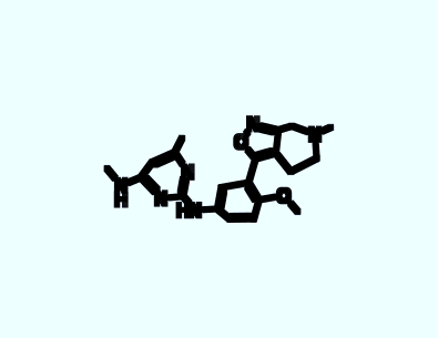 CNc1cc(C)nc(Nc2ccc(OC)c(-c3onc4c3CCN(C)C4)c2)n1